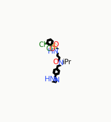 CC(C)N(CCc1ccc(C2=NCCN2)cc1)C(=O)CCCNCS(=O)(=O)c1cccc(Cl)c1Cl